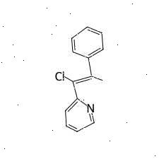 C/C(=C(/Cl)c1ccccn1)c1ccccc1